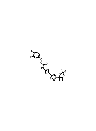 O=C(COc1ccc(Cl)c(F)c1)NC12CC(c3cn(C4(OC(F)(F)F)CCC4)nn3)(C1)C2